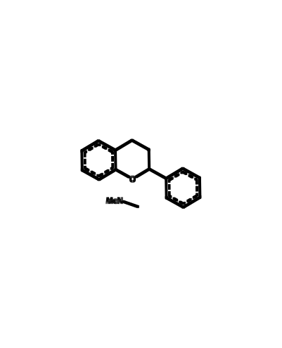 CNC.c1ccc(C2CCc3ccccc3O2)cc1